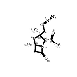 C[C@@]1(CN=[N+]=[N-])S[C@@H]2CC(=O)N2[C@H]1C(=O)O